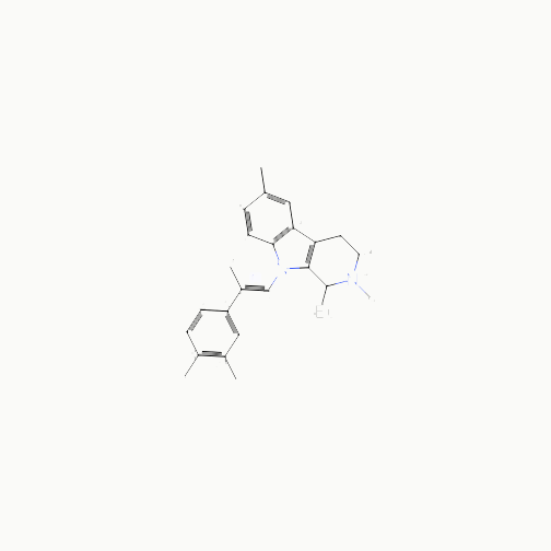 CCC1c2c(c3cc(C)ccc3n2/C=C(\C)c2ccc(C)c(C)c2)CCN1C